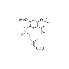 COc1cc2c(cc1\C(C)=C(F)/C=C/C(C)=C/C(=O)O)C(C(C)C)=CC(C)(C)O2